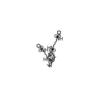 CC1CN1CC(COCC(C)(C)COCC(CN1CC1C)OC(=O)NCCCCCCNC(=O)OC1CCCCC1)OC(=O)NCCCCCCNC(=O)OC1CCCCC1